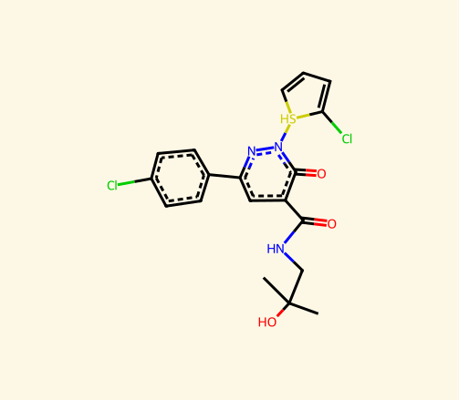 CC(C)(O)CNC(=O)c1cc(-c2ccc(Cl)cc2)nn([SH]2C=CC=C2Cl)c1=O